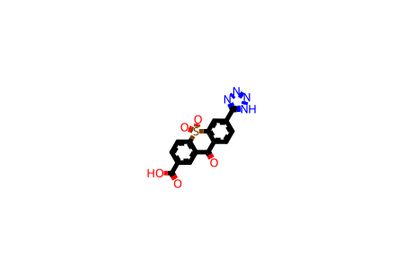 O=C(O)c1ccc2c(c1)C(=O)c1ccc(-c3nnn[nH]3)cc1S2(=O)=O